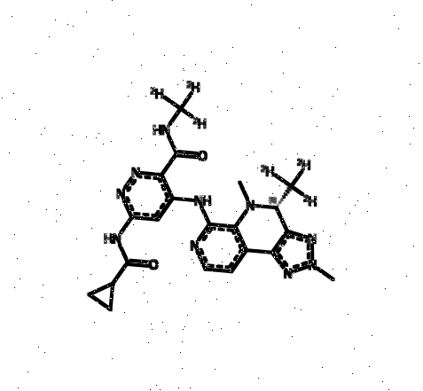 [2H]C([2H])([2H])NC(=O)c1nnc(NC(=O)C2CC2)cc1Nc1nccc2c1N(C)[C@H](C([2H])([2H])[2H])c1nn(C)nc1-2